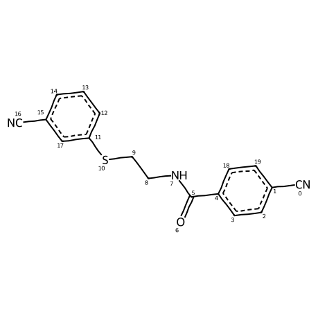 N#Cc1ccc(C(=O)NCCSc2cccc(C#N)c2)cc1